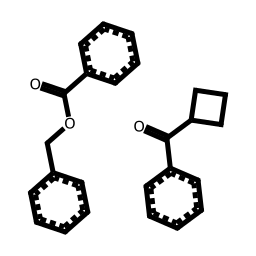 O=C(OCc1ccccc1)c1ccccc1.O=C(c1ccccc1)C1CCC1